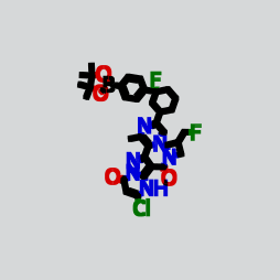 Cc1nc(C2CCCC(F)(c3ccc(B4OC(C)(C)C(C)(C)O4)cc3)C2)cnc1-c1nn2c(=O)cc(Cl)[nH]c2c1C(=O)N1CC(CF)C1